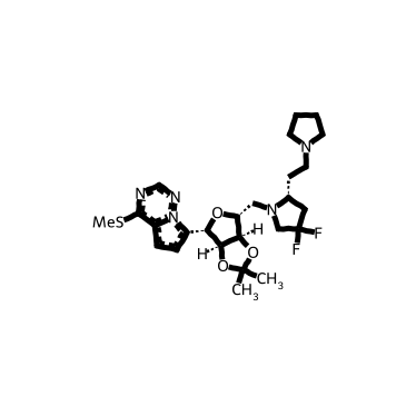 CSc1ncnn2c([C@@H]3O[C@H](CN4CC(F)(F)C[C@H]4CCN4CCCC4)[C@H]4OC(C)(C)O[C@H]43)ccc12